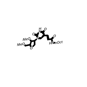 CCCCCCCCNC(=O)/C=C/c1cn(C2COC(COC)C2OC)c(=O)[nH]c1=O